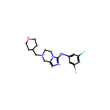 Fc1cc(F)cc(Nc2ncc3n2CCN(CC2CCOCC2)C3)c1